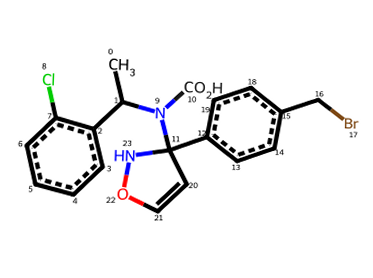 CC(c1ccccc1Cl)N(C(=O)O)C1(c2ccc(CBr)cc2)C=CON1